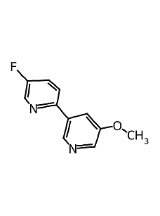 COc1cncc(-c2ccc(F)cn2)c1